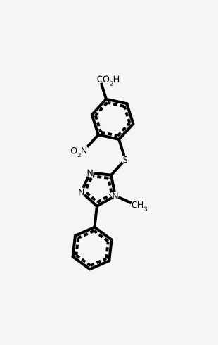 Cn1c(Sc2ccc(C(=O)O)cc2[N+](=O)[O-])nnc1-c1ccccc1